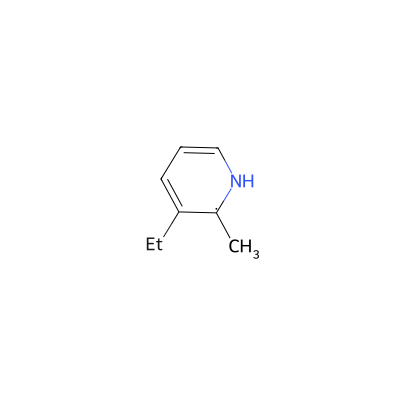 CCC1=CC=CN[C]1C